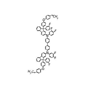 C=Cc1ccc(Oc2ccc(C3(c4cccc(F)c4)c4ccccc4-c4ccc(N(c5ccc(-c6ccc(N(c7ccc(F)c(F)c7)c7ccc8c(c7)C(c7ccc(Oc9ccc(C=C)cc9)cc7)(c7cccc(F)c7)c7ccccc7-8)cc6)cc5)c5ccc(F)c(F)c5)cc43)cc2)cc1